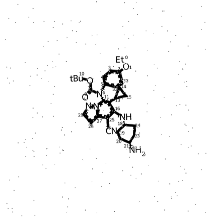 CCOc1ccc(N(C(=O)OC(C)(C)C)c2c(C3CC3)c(N[C@H]3CC[C@H](N)CC3)c(C#N)c3ccnn23)cc1